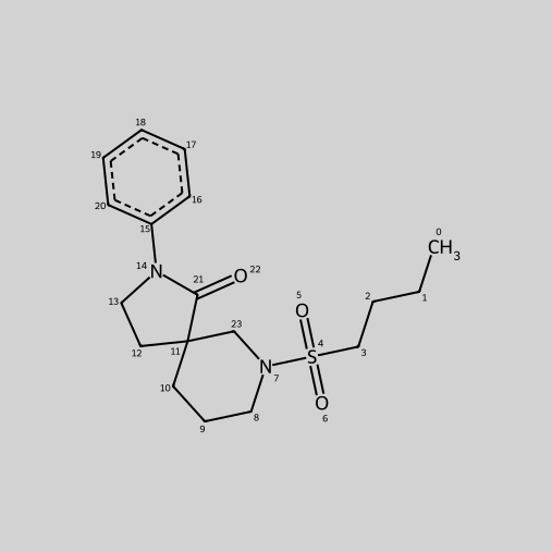 CCCCS(=O)(=O)N1CCCC2(CCN(c3ccccc3)C2=O)C1